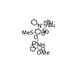 CCCCC1(CCCC)CN(c2ccccc2)c2cc(SC)c(OCC(=O)NC(C(=O)OC)c3cccs3)cc2S(=O)(=O)C1